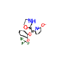 COc1cccc([C@H](Oc2ccccc2OC(F)(F)F)[C@@H]2CNCCO2)n1